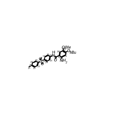 CCCCOc1cc(N)c(C(=O)Nc2ccc(S(=O)(=O)c3ccc(C)cc3)cc2)cc1OC